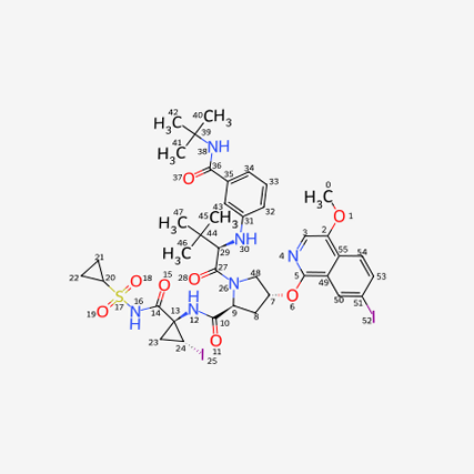 COc1cnc(O[C@@H]2C[C@@H](C(=O)N[C@]3(C(=O)NS(=O)(=O)C4CC4)C[C@H]3I)N(C(=O)[C@H](Nc3cccc(C(=O)NC(C)(C)C)c3)C(C)(C)C)C2)c2cc(I)ccc12